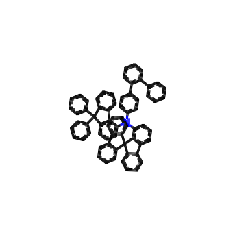 c1ccc(-c2ccccc2-c2ccc(N(c3cccc4c3-c3ccccc3C4(c3ccccc3)c3ccccc3)c3cccc4c3C3(c5ccccc5-c5ccccc53)c3ccccc3-4)cc2)cc1